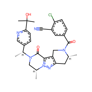 C[C@@H]1Cc2nn3c(c2CN1C(=O)c1ccc(Cl)c(C#N)c1)C(=O)N([C@H](C)c1ccc(C(C)(C)O)nc1)C[C@H]3C